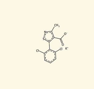 Cc1nsc(-c2c(Cl)cccc2Cl)c1C(=O)[O-].[K+]